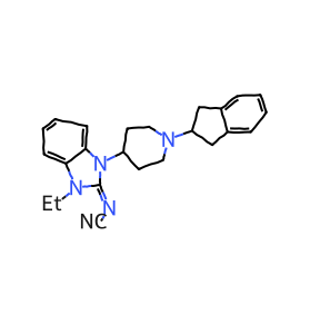 CCn1c(=NC#N)n(C2CCN(C3Cc4ccccc4C3)CC2)c2ccccc21